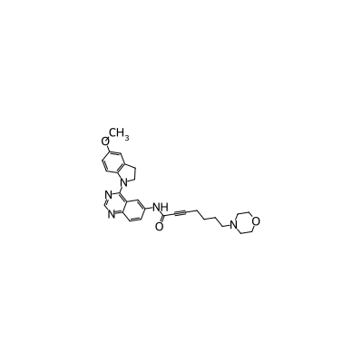 COc1ccc2c(c1)CCN2c1ncnc2ccc(NC(=O)C#CCCCCN3CCOCC3)cc12